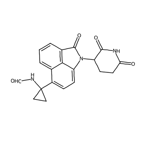 O=CNC1(c2ccc3c4c(cccc24)C(=O)N3C2CCC(=O)NC2=O)CC1